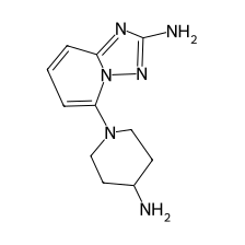 Nc1nc2cccc(N3CCC(N)CC3)n2n1